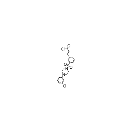 O=C(Cl)/C=C/c1cccc(S(=O)(=O)N2CCN(c3cccc(Cl)c3)CC2)c1